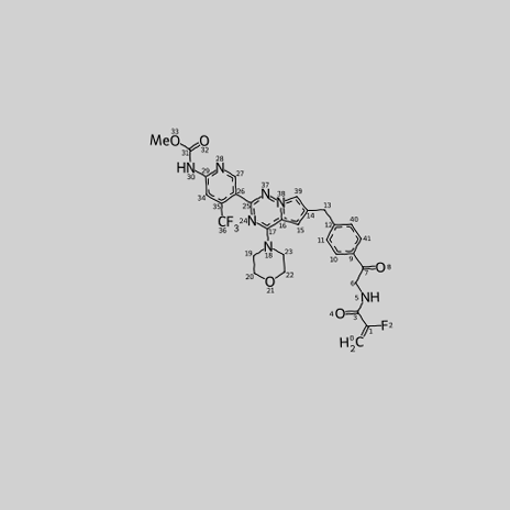 C=C(F)C(=O)NCC(=O)c1ccc(Cc2cc3c(N4CCOCC4)nc(-c4cnc(NC(=O)OC)cc4C(F)(F)F)nn3c2)cc1